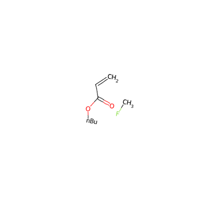 C=CC(=O)OCCCC.CF